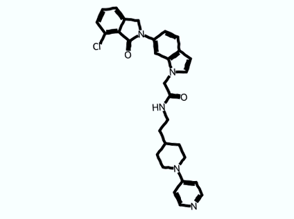 O=C(Cn1ccc2ccc(N3Cc4cccc(Cl)c4C3=O)cc21)NCCC1CCN(c2ccncc2)CC1